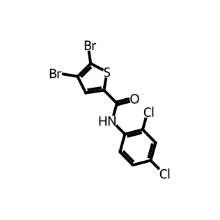 O=C(Nc1ccc(Cl)cc1Cl)c1cc(Br)c(Br)s1